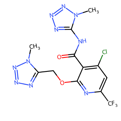 Cn1nnnc1COc1nc(C(F)(F)F)cc(Cl)c1C(=O)Nc1nnnn1C